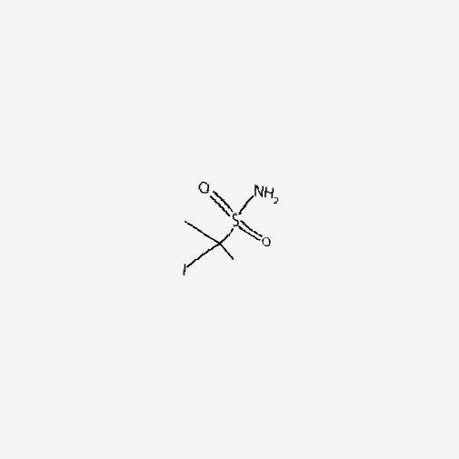 CC(C)(I)S(N)(=O)=O